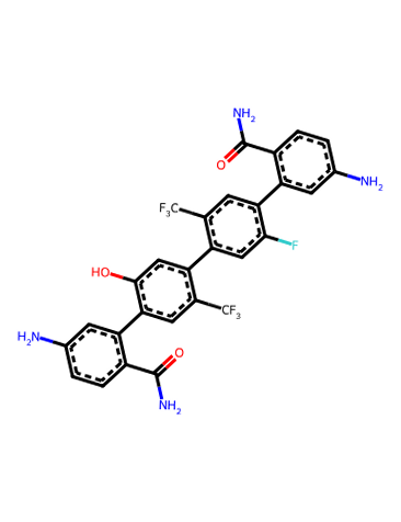 NC(=O)c1ccc(N)cc1-c1cc(C(F)(F)F)c(-c2cc(F)c(-c3cc(N)ccc3C(N)=O)cc2C(F)(F)F)cc1O